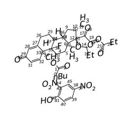 CCCCC(=O)O[C@H]1C[C@@]2(C)[C@@H](C[C@H](C)[C@]2(OC(=O)CC)C(=O)COC(=O)CC)[C@@H]2CCC3=CC(=O)C=C[C@]3(C)C12F.O=[N+]([O-])c1ccc(O)c([N+](=O)[O-])c1